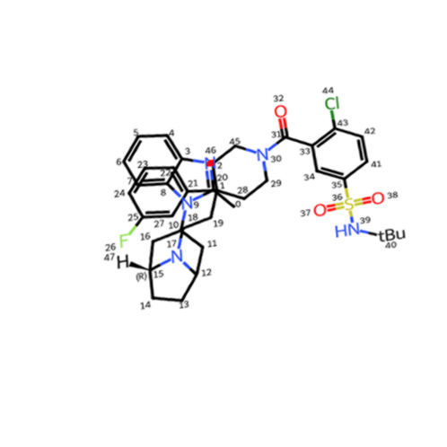 Cc1nc2ccccc2n1C1CC2CC[C@H](C1)N2CCC1(c2cccc(F)c2)CCN(C(=O)c2cc(S(=O)(=O)NC(C)(C)C)ccc2Cl)CC1